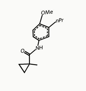 CCCc1cc(NC(=O)C2(C)CC2)ccc1OC